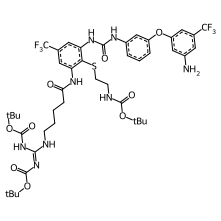 CC(C)(C)OC(=O)/N=C(/NCCCCC(=O)Nc1cc(C(F)(F)F)cc(NC(=O)Nc2cccc(Oc3cc(N)cc(C(F)(F)F)c3)c2)c1SCCNC(=O)OC(C)(C)C)NC(=O)OC(C)(C)C